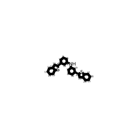 c1cc(Nc2cccc(-c3cc4ccccc4s3)c2)cc(-c2cc3ccccc3s2)c1